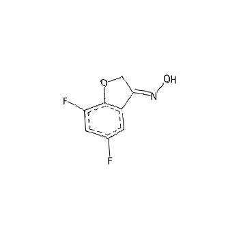 ON=C1COc2c(F)cc(F)cc21